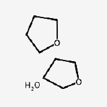 C1CCOC1.C1CCOC1.O